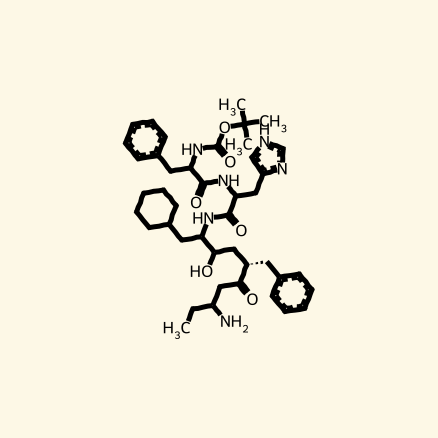 CCC(N)CC(=O)[C@@H](Cc1ccccc1)CC(O)C(CC1CCCCC1)NC(=O)C(Cc1c[nH]cn1)NC(=O)C(Cc1ccccc1)NC(=O)OC(C)(C)C